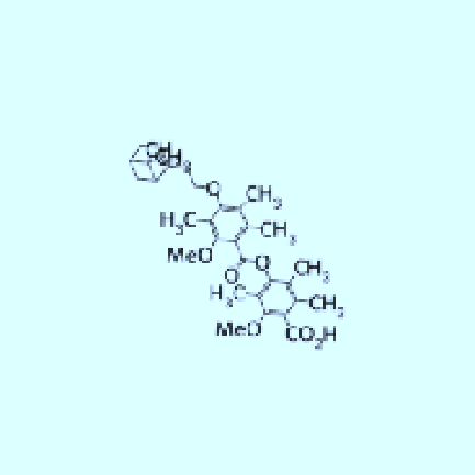 COc1c(C)c(OC(=O)c2c(C)c(C)c(OCCC3=CCC4CC3C4(C)C)c(C)c2OC)c(C)c(C)c1C(=O)O